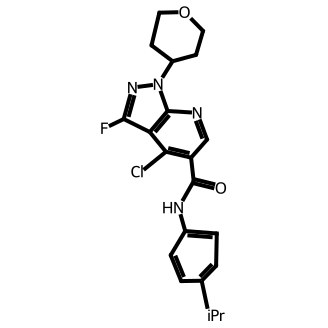 CC(C)c1ccc(NC(=O)c2cnc3c(c(F)nn3C3CCOCC3)c2Cl)cc1